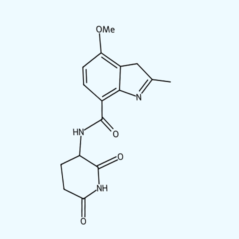 COc1ccc(C(=O)NC2CCC(=O)NC2=O)c2c1CC(C)=N2